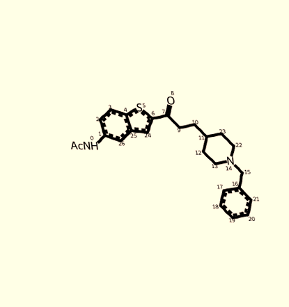 CC(=O)Nc1ccc2sc(C(=O)CCC3CCN(Cc4ccccc4)CC3)cc2c1